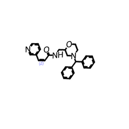 O=C(/C=C\c1cccnc1)NCC1CN(C(c2ccccc2)c2ccccc2)CCO1